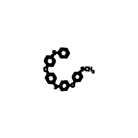 CSc1ccc(Oc2ccc(Sc3ccc(Oc4ccc(Sc5ccccc5)cc4)cc3)cc2)cc1